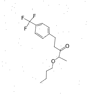 CCCCOC(C)C(=O)CCc1ccc(C(F)(F)F)cc1